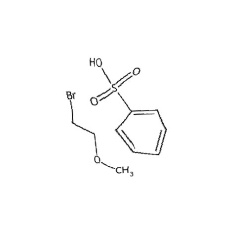 COCCBr.O=S(=O)(O)c1ccccc1